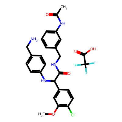 COc1cc(C(Nc2ccc(CN)cc2)C(=O)NCc2cccc(NC(C)=O)c2)ccc1Cl.O=C(O)C(F)(F)F